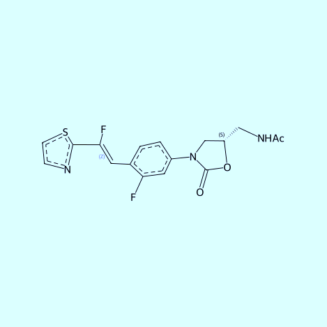 CC(=O)NC[C@H]1CN(c2ccc(/C=C(\F)c3nccs3)c(F)c2)C(=O)O1